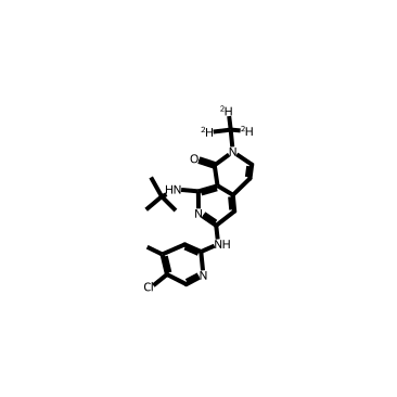 [2H]C([2H])([2H])n1ccc2cc(Nc3cc(C)c(Cl)cn3)nc(NC(C)(C)C)c2c1=O